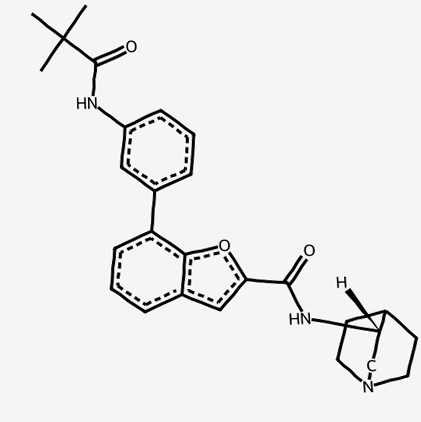 CC(C)(C)C(=O)Nc1cccc(-c2cccc3cc(C(=O)N[C@H]4CN5CCC4CC5)oc23)c1